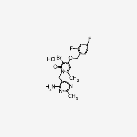 Cc1ncc(Cn2c(C)cc(OCc3ccc(F)cc3F)c(Br)c2=O)c(N)n1.Cl